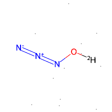 [2H]ON=[N+]=[N-]